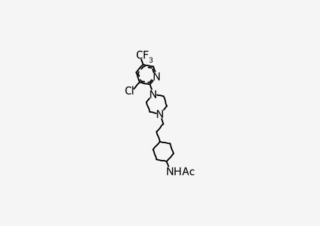 CC(=O)NC1CCC(CCN2CCN(c3ncc(C(F)(F)F)cc3Cl)CC2)CC1